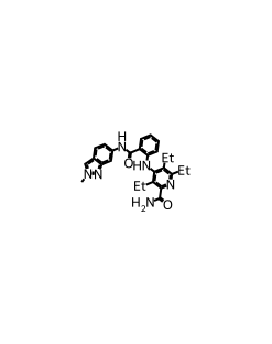 CCc1nc(C(N)=O)c(CC)c(Nc2ccccc2C(=O)Nc2ccc3cn(C)nc3c2)c1CC